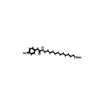 CCCCCCCCCCCCCCCCCCCCCCNC(=O)Cc1ccc(O)cc1